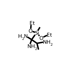 CCO[Si](C)(OCC)C(N)(N)C(C)N